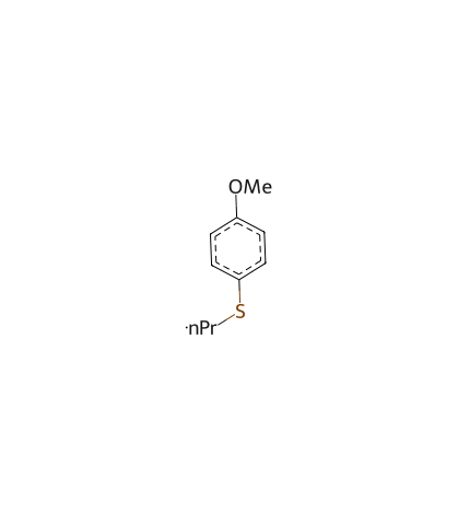 CC[CH]Sc1ccc(OC)cc1